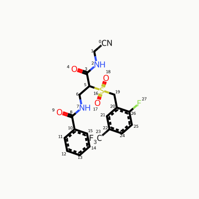 N#CCNC(=O)C(CNC(=O)c1ccccc1)S(=O)(=O)Cc1cc(C(F)(F)F)ccc1F